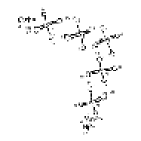 O=S(=O)([O-])[O-].O=S(=O)([O-])[O-].O=S(=O)([O-])[O-].O=S(=O)([O-])[O-].O=S(=O)([O-])[O-].[Co+2].[Mn+2].[Ni+2].[Ti+4]